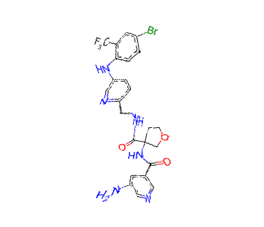 Nc1cncc(C(=O)NC2(C(=O)NCc3ccc(Nc4ccc(Br)cc4C(F)(F)F)cn3)CCOC2)c1